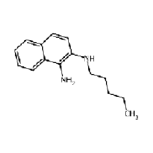 CCCCCNc1ccc2ccccc2c1N